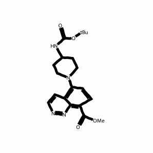 COC(=O)c1ccc(N2CCC(NC(=O)OC(C)(C)C)CC2)c2ccnnc12